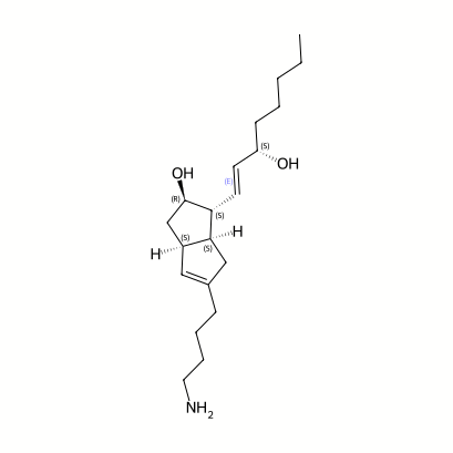 CCCCC[C@H](O)/C=C/[C@@H]1[C@H]2CC(CCCCN)=C[C@H]2C[C@H]1O